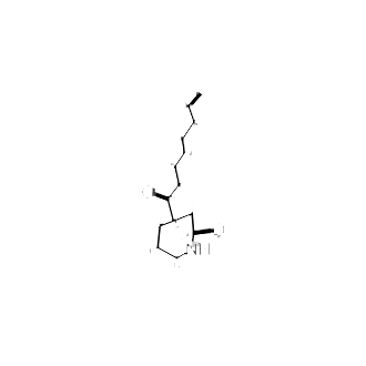 C=CCCCCCC(=O)C1CCCNC(=O)C1